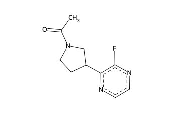 CC(=O)N1CCC(c2nccnc2F)C1